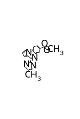 COC(=O)c1ccc2c(c1)nc(-c1ncc(C)cn1)c1cccn12